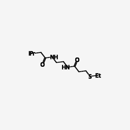 CCSCCC(=O)NCCNC(=O)CC(C)C